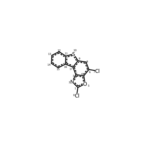 Clc1nc2c(o1)c(Cl)cc1sc3ccccc3c12